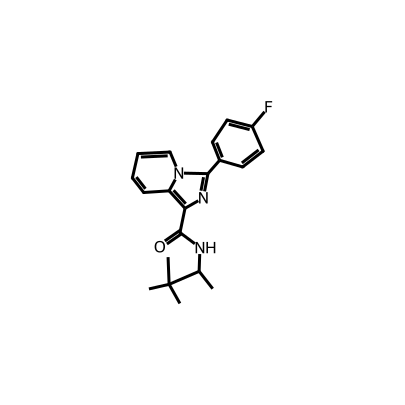 CC(NC(=O)c1nc(-c2ccc(F)cc2)n2ccccc12)C(C)(C)C